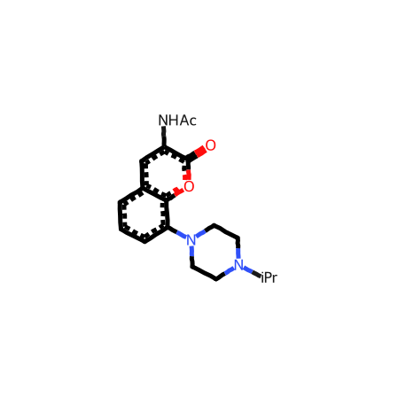 CC(=O)Nc1cc2cccc(N3CCN(C(C)C)CC3)c2oc1=O